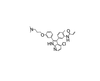 C=CC(=O)Nc1cc(-c2c(-c3cccc(OCCCN(C)C)c3)[nH]c3nccc(Cl)c23)ccc1C